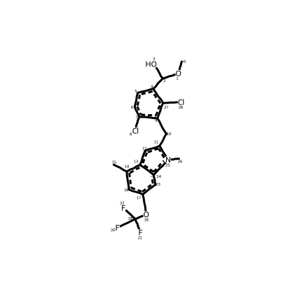 COC(O)c1ccc(Cl)c(Cc2cc3c(C)cc(OC(F)(F)F)cc3n2C)c1Cl